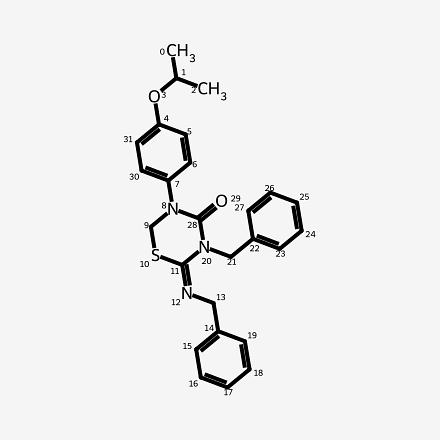 CC(C)Oc1ccc(N2CS/C(=N/Cc3ccccc3)N(Cc3ccccc3)C2=O)cc1